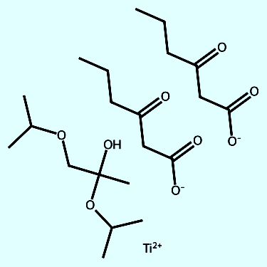 CC(C)OCC(C)(O)OC(C)C.CCCC(=O)CC(=O)[O-].CCCC(=O)CC(=O)[O-].[Ti+2]